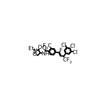 CCN1OCC(NC(=O)c2ccc(/C(F)=C/C(c3cc(Cl)c(Cl)c(Cl)c3)C(F)(F)F)cc2C(F)(F)F)C1=O